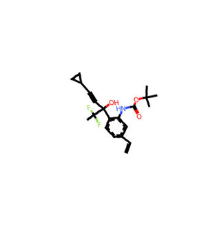 C=Cc1ccc(C(O)(C#CC2CC2)C(C)(F)F)c(NC(=O)OC(C)(C)C)c1